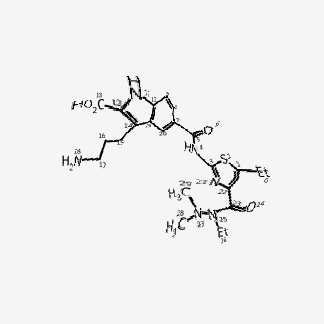 CCc1sc(NC(=O)c2ccc3[nH]c(C(=O)O)c(CCCN)c3c2)nc1C(=O)N(CC)N(C)C